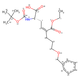 CCOC(=O)C(=CC[C@H](NC(=O)OC(C)(C)C)C(=O)O)CCCOCc1ccccc1